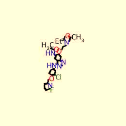 C=CC(=O)Nc1cc2c(Nc3ccc(OCc4cccc(F)n4)c(Cl)c3)ncnc2cc1OCCCN1C[C@H](C)OC[C@@H]1CC